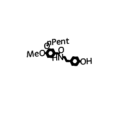 CCCCCOc1cc(C(=O)NCCc2ccc(O)cc2)ccc1OC